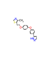 Cc1ncsc1CCOc1ccc(Oc2ccc(-c3ccn[nH]3)cc2)cc1